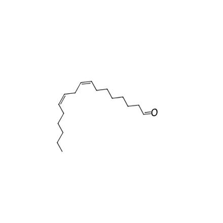 CCCCC/C=C\C/C=C\CCCCCCC=O